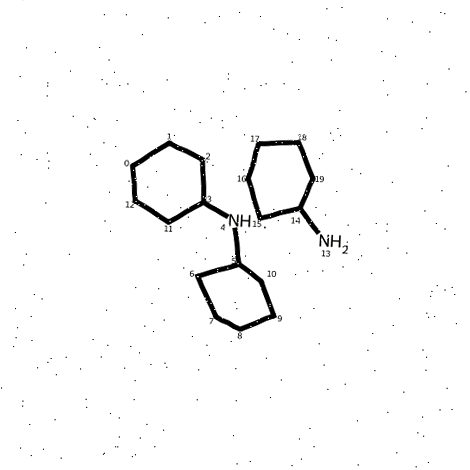 C1CCC(NC2CCCCC2)CC1.NC1CCCCC1